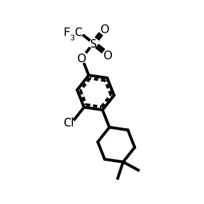 CC1(C)CCC(c2ccc(OS(=O)(=O)C(F)(F)F)cc2Cl)CC1